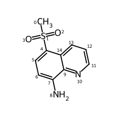 CS(=O)(=O)c1ccc(N)c2ncccc12